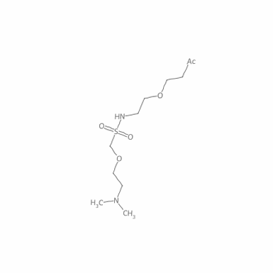 CC(=O)CCOCCNS(=O)(=O)COCCN(C)C